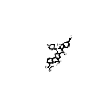 CN1CCC(n2c3cc(-c4cccc(S(=O)(=O)F)c4)c(C(F)(F)F)cc3c(=O)c3c4ccc(C#N)cc4[nH]c32)CC1